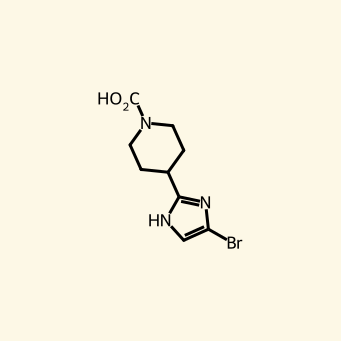 O=C(O)N1CCC(c2nc(Br)c[nH]2)CC1